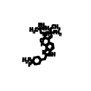 CCC(F)(P)/C=C(\C(=O)NCC(C)(C)P)c1ccc2[nH]c(CC3CCC(F)(P)CC3)nc2c1F